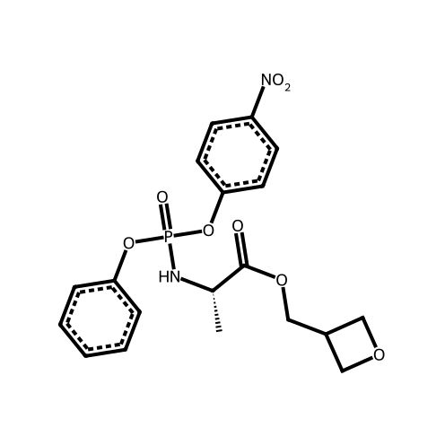 C[C@H](NP(=O)(Oc1ccccc1)Oc1ccc([N+](=O)[O-])cc1)C(=O)OCC1COC1